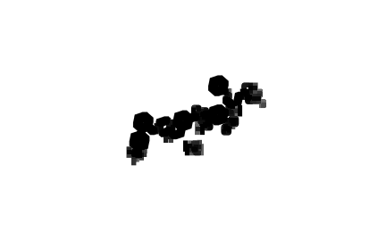 CN(C)CC[C@H](CSc1ccccc1)Nc1ccc(S(=O)(=O)NC(=O)c2ccc3c(c2)CC[C@@H]2CN(Cc4ccccc4-c4ccc(C(F)(F)F)cc4)CCN32)cc1[N+](=O)[O-].Cl.Cl